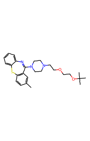 Cc1ccc2c(c1)C(N1CCN(CCOCCOC(C)(C)C)CC1)=Nc1ccccc1S2